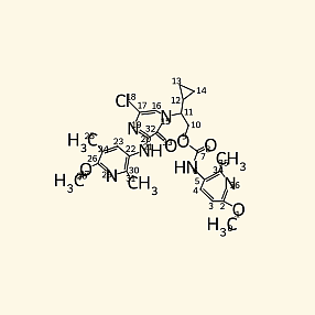 COc1ccc(NC(=O)OCC(C2CC2)n2cc(Cl)nc(Nc3cc(C)c(OC)nc3C)c2=O)c(C)n1